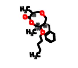 CCCCCO[C@@H]1[C@@H](Cc2ccccc2)COC[C@H](C)C(=O)O[C@H]1C